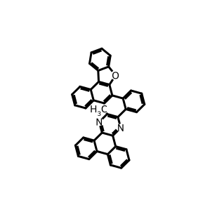 Cc1nc2c3ccccc3c3ccccc3c2nc1-c1ccccc1-c1cc2ccccc2c2c1oc1ccccc12